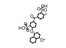 COc1ccc(Oc2ccc(C(=O)c3ccc(C)c(S(=O)(=O)O)c3)cc2S(=O)(=O)O)c2ccccc12